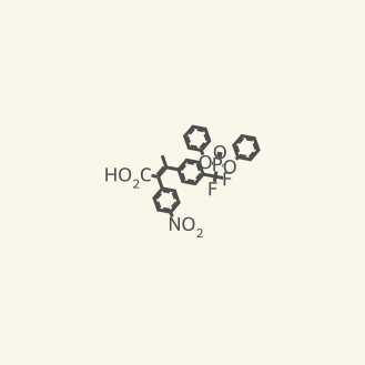 CC(=C(C(=O)O)c1ccc([N+](=O)[O-])cc1)c1ccc(C(F)(F)P(=O)(Oc2ccccc2)Oc2ccccc2)cc1